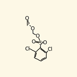 O=POCOS(=O)(=O)c1c(Cl)cccc1Cl